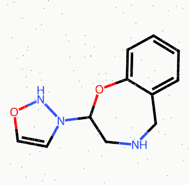 C1=CN(C2CNCc3ccccc3O2)NO1